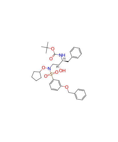 CC(C)(C)OC(=O)N[C@@H](Cc1ccccc1)[C@H](O)CN(OC1CCCC1)S(=O)(=O)c1cccc(OCc2ccccc2)c1